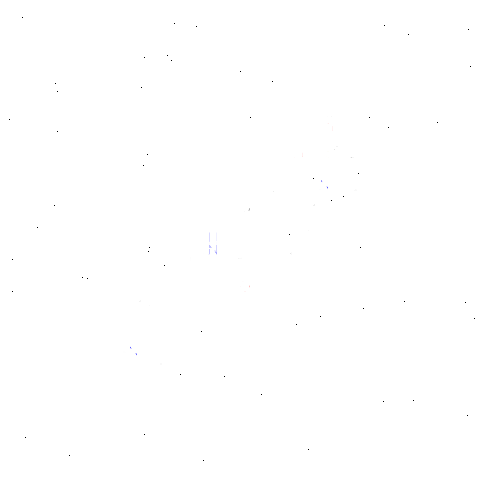 O=C(Nc1ccc2cnccc2c1)c1ccc(N2CCS2(=O)=O)cc1